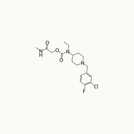 CCN(C(=O)OCC(=O)NC)C1CCN(Cc2ccc(F)c(Cl)c2)CC1